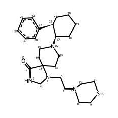 O=C1NCN(CCN2CCSCC2)C12CCN([C@@H]1CCCC[C@@H]1c1ccccc1)CC2